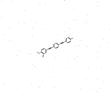 CCc1ccc(C#Cc2ccc(C#Cc3ccc(C)cc3)cc2)cc1F